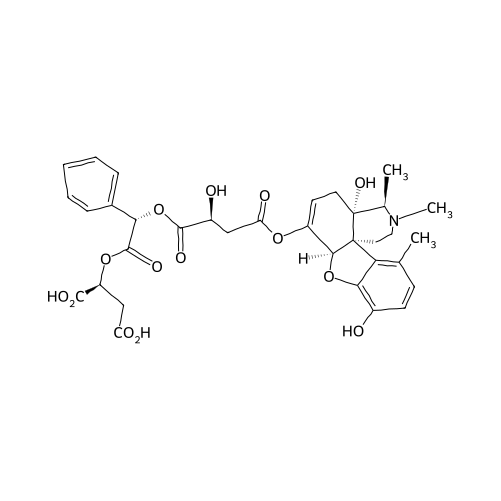 Cc1ccc(O)c2c1[C@]13CCN(C)[C@H](C)[C@]1(O)CC=C(OC(=O)C[C@H](O)C(=O)O[C@H](C(=O)O[C@@H](CC(=O)O)C(=O)O)c1ccccc1)[C@@H]3O2